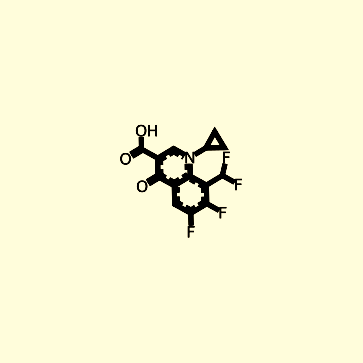 O=C(O)c1cn(C2CC2)c2c(C(F)F)c(F)c(F)cc2c1=O